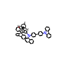 C[C@H]1C[C@@H]2CC(C)(C)C[C@H](C1)C21c2ccccc2C2(c3ccccc3-c3ccccc32)c2cc(N(c3ccc(-c4ccc(-n5c6ccccc6c6ccccc65)cc4)cc3)c3cccc4ccccc34)ccc21